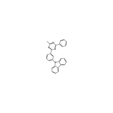 Cc1nc(-c2ccccc2)nc(-c2cccc(-n3c4ccccc4c4ccccc43)c2)n1